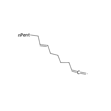 [CH]=C=CCCCCC=CCCCCCC